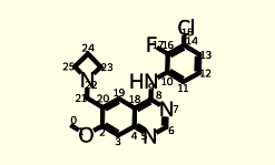 COc1cc2ncnc(Nc3cccc(Cl)c3F)c2cc1CN1CCC1